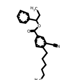 CCCCCCc1ccc(C(=O)OC(CC)c2ccccc2)cc1C#N